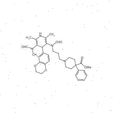 COC(=O)C1(c2ccccc2)CCN(CCCN(C=O)C2=C(C)NC(C)=C(N(C)C=O)C2c2ccc3c(c2)OCCO3)CC1